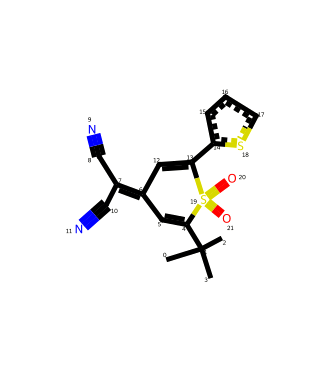 CC(C)(C)C1=CC(=C(C#N)C#N)C=C(c2cccs2)S1(=O)=O